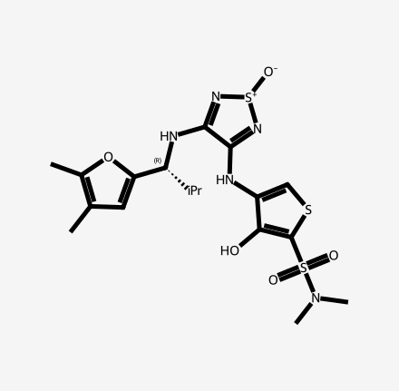 Cc1cc([C@H](Nc2n[s+]([O-])nc2Nc2csc(S(=O)(=O)N(C)C)c2O)C(C)C)oc1C